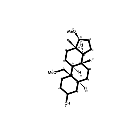 COC[C@]12CCC(O)C[C@@H]1CC[C@H]1[C@@H]3CC[C@H](OC)[C@@]3(C)CC[C@@H]12